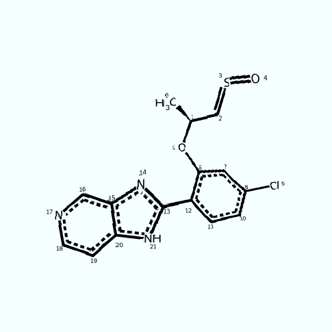 C[C@@H](C=S=O)Oc1cc(Cl)ccc1-c1nc2cnccc2[nH]1